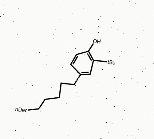 CCCCCCCCCCCCCCCc1ccc(O)c(C(C)(C)C)c1